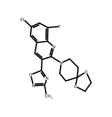 CCc1cc(F)c2nc(N3CCC4(CC3)OCCO4)c(-c3nc(C)no3)cc2c1